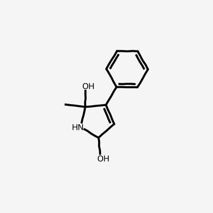 CC1(O)NC(O)C=C1c1ccccc1